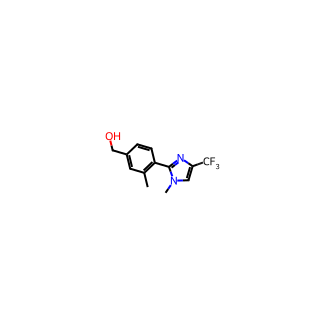 Cc1cc(CO)ccc1-c1nc(C(F)(F)F)cn1C